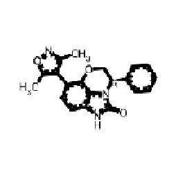 Cc1noc(C)c1-c1ccc2[nH]c(=O)n3c2c1OC[C@H]3c1ccccc1